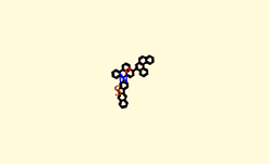 c1ccc(-c2ccccc2N(c2ccc(-c3cc4ccc5ccccc5c4c4ccccc34)cc2)c2ccc3c(c2)sc2cc4ccccc4cc23)cc1